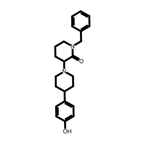 O=C1C(N2CCC(c3ccc(O)cc3)CC2)CCCN1Cc1ccccc1